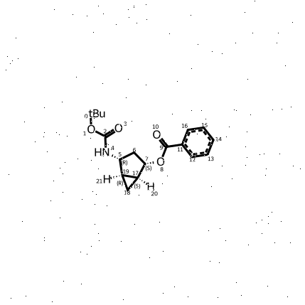 CC(C)(C)OC(=O)N[C@@H]1C[C@H](OC(=O)c2ccccc2)[C@H]2C[C@H]21